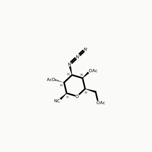 CC(=O)OC[C@H]1O[C@@H](C#N)[C@H](OC(C)=O)[C@@H](N=[N+]=[N-])[C@H]1OC(C)=O